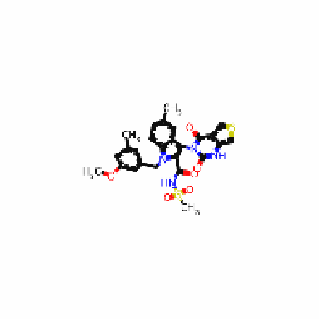 COc1cc(C)cc(Cn2c(C(=O)NS(C)(=O)=O)c(-n3c(=O)[nH]c4cscc4c3=O)c3cc(C)ccc32)c1